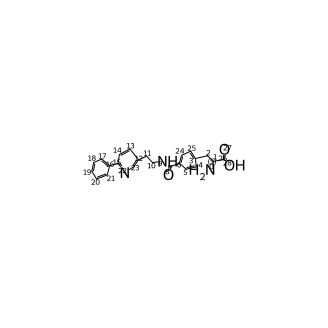 N[C@@H](Cc1ccc(C(=O)NCCc2ccc(-c3ccccc3)nc2)cc1)C(=O)O